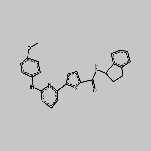 COc1ccc(Nc2nccc(-c3ccc(C(=O)NC4CCc5ccccc54)s3)n2)cc1